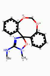 CN1OC2(N=C1NC(C)(C)C)c1ccccc1OCOc1ccccc12